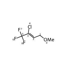 [CH2]OC/C=C(\Cl)C(F)(F)F